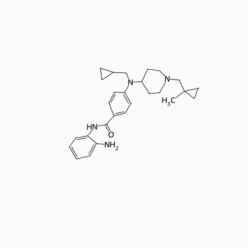 CC1(CN2CCC(N(CC3CC3)c3ccc(C(=O)Nc4ccccc4N)cc3)CC2)CC1